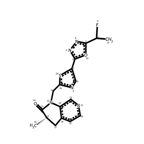 CC(F)c1nnc(-c2cnc(CN3C(=O)[C@@H](C)Cc4ccncc43)s2)o1